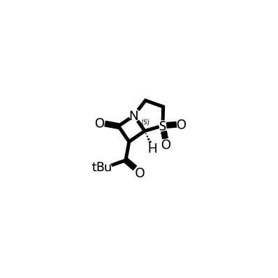 CC(C)(C)C(=O)C1C(=O)N2CCS(=O)(=O)[C@@H]12